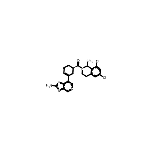 C[C@H]1c2c(Cl)cc(Cl)cc2CCN1C(=O)[C@@H]1CCC=C(c2cncc3nc(N)oc23)C1